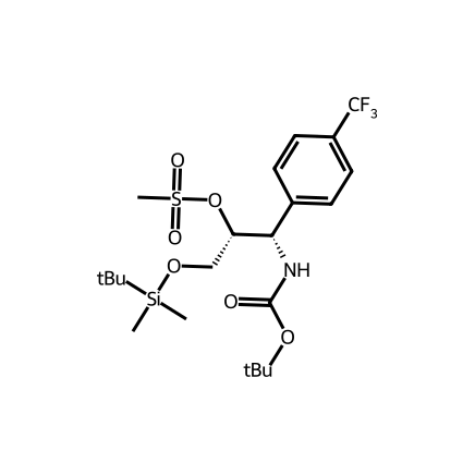 CC(C)(C)OC(=O)N[C@@H](c1ccc(C(F)(F)F)cc1)[C@H](CO[Si](C)(C)C(C)(C)C)OS(C)(=O)=O